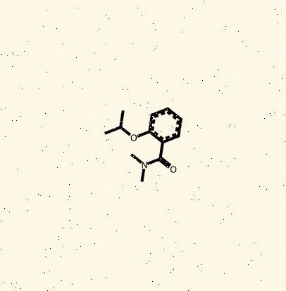 CC(C)Oc1[c]cccc1C(=O)N(C)C